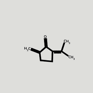 C=C1CCC(=C(C)C)C1=O